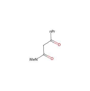 CCCC(=O)CC(=O)NC